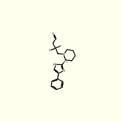 O=CCC(F)(F)CN1CCCC[C@H]1c1nc(-c2ccccc2)c[nH]1